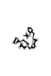 O=C(NCc1ccccc1OC(F)(F)F)c1ccc(CN2CCN(c3nccs3)C(=O)C2)s1